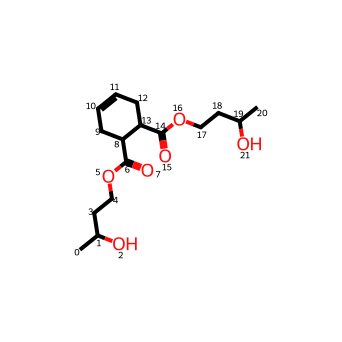 CC(O)CCOC(=O)C1CC=CCC1C(=O)OCCC(C)O